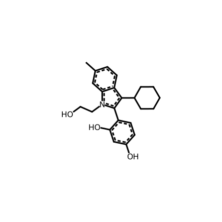 Cc1ccc2c(C3CCCCC3)c(-c3ccc(O)cc3O)n(CCO)c2c1